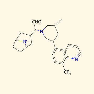 CC1CC(c2ccc(C(F)(F)F)c3ncccc23)CN(C(C=O)C2CC3CCC(C2)N3C)C1